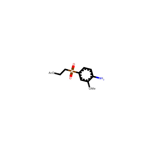 COc1cc(S(=O)(=O)CCOC(C)=O)ccc1N